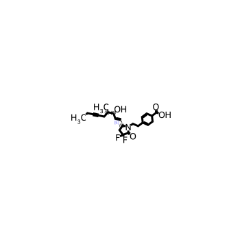 CCC#CC[C@H](C)[C@H](O)/C=C/[C@H]1CC(F)(F)C(=O)N1CCC1=CCC(C(=O)O)C=C1